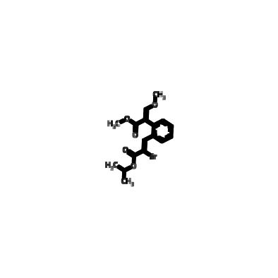 CO/C=C(/C(=O)OC)c1ccccc1/C=C(\Br)C(=O)OC(C)C